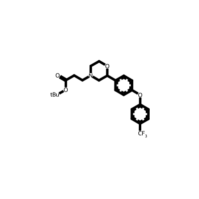 CC(C)(C)OC(=O)CCN1CCOC(c2ccc(Oc3ccc(C(F)(F)F)cc3)cc2)C1